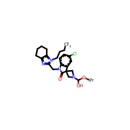 CC(C)OC(O)N1CC2(C1)C(=O)N(Cc1nc3c(n1CCCC(F)(F)F)CCCC3)c1ccc(Cl)cc12